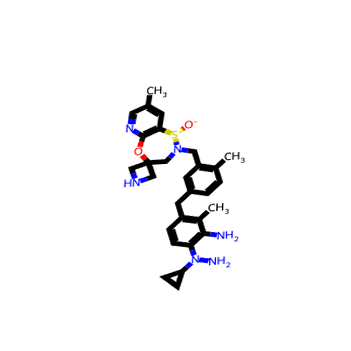 Cc1cnc2c(c1)[S+]([O-])N(Cc1cc(Cc3ccc(N(N)C4CC4)c(N)c3C)ccc1C)CC1(CNC1)O2